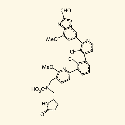 COc1nc(-c2cccc(-c3ccnc(-c4cc(OC)c5nc(C=O)cn5c4)c3Cl)c2Cl)ccc1CN(C[C@@H]1CCC(=O)N1)C(=O)O